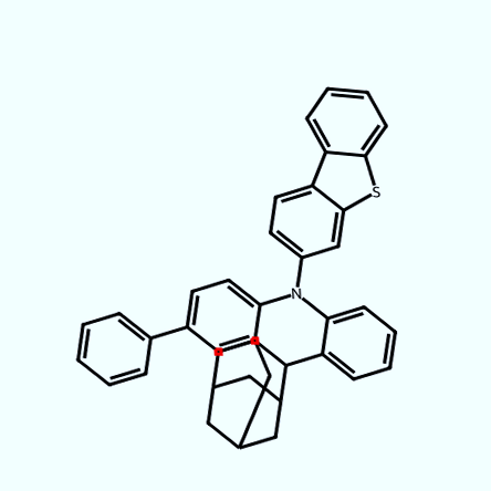 c1ccc(-c2ccc(N(c3ccc4c(c3)sc3ccccc34)c3ccccc3C3C4CC5CC(C4)CC3C5)cc2)cc1